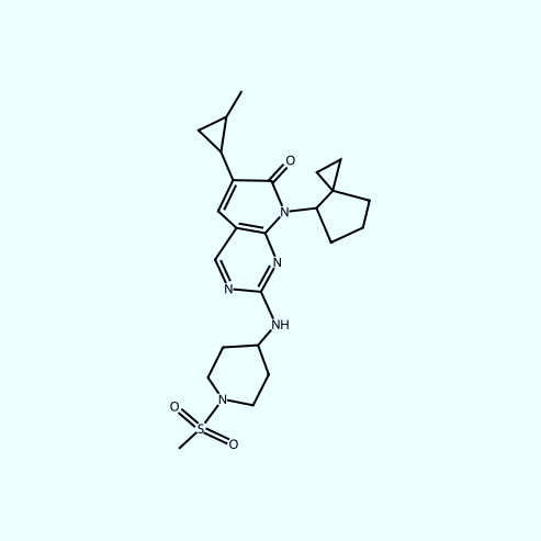 CC1CC1c1cc2cnc(NC3CCN(S(C)(=O)=O)CC3)nc2n(C2CCCC23CC3)c1=O